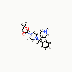 CN1CCC(C(C)(c2ccccc2)N2CCN(C(=O)OC(C)(C)C)CC2)CC1